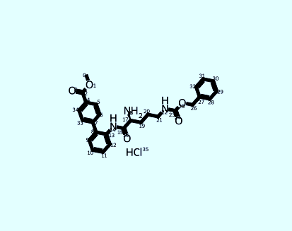 COC(=O)c1ccc(-c2ccccc2NC(=O)[C@@H](N)CCCNC(=O)OCc2ccccc2)cc1.Cl